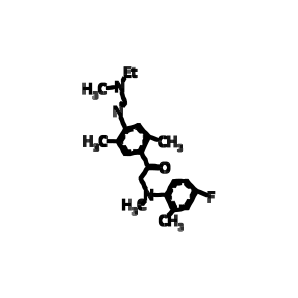 CCN(C)/C=N/c1cc(C)c(C(=O)CN(C)c2ccc(F)cc2C)cc1C